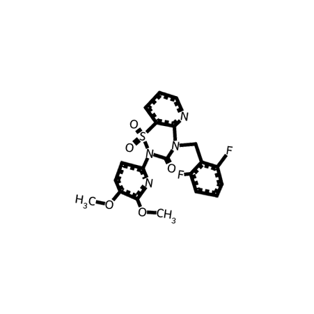 COc1ccc(N2C(=O)N(Cc3c(F)cccc3F)c3ncccc3S2(=O)=O)nc1OC